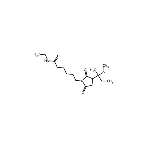 CCNC(=O)CCCCCN1C(=O)CC(C(C)(CC)SC)C1=O